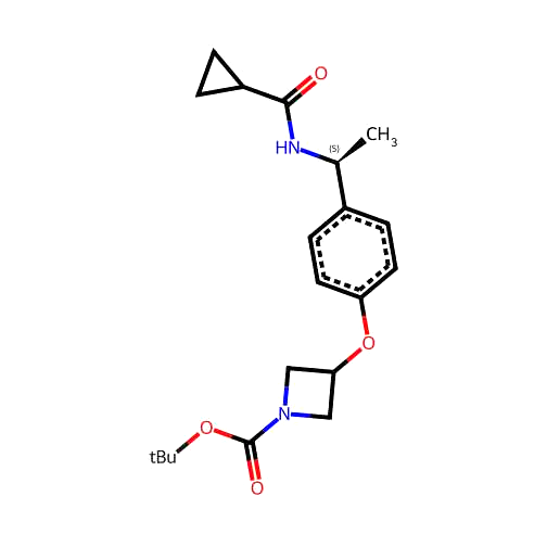 C[C@H](NC(=O)C1CC1)c1ccc(OC2CN(C(=O)OC(C)(C)C)C2)cc1